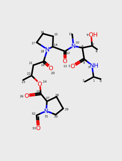 CC(C)NC(=O)C(C(C)O)N(C)C(=O)C1CCCN1C(=O)CC(C)OC(=O)C1CCCN1C=O